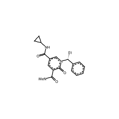 CC[C@H](c1ccccc1)n1cc(C(=O)NC2CC2)cc(C(=O)NC)c1=O